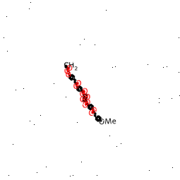 C=CC(=O)OCOc1ccc(CCC(=O)Oc2ccc(C(=O)OC3COC4C(OC(=O)c5ccc(OC(=O)CCc6ccc(OC)cc6)cc5)COC34)cc2)cc1